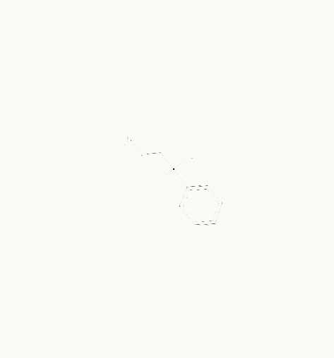 NCCC(S)(S)c1ccccc1